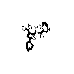 COC(=O)c1cc(-c2ccccc2)sc1NC(=O)c1cnccn1